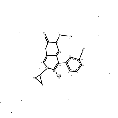 CCCOC1C=C2C(=CN(C3CC3)C(C#N)=C2c2cccc(F)c2)CC1=O